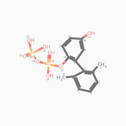 Cc1cccc(C)c1-c1cc(O)ccc1OP(=O)(O)OP(=O)(O)O